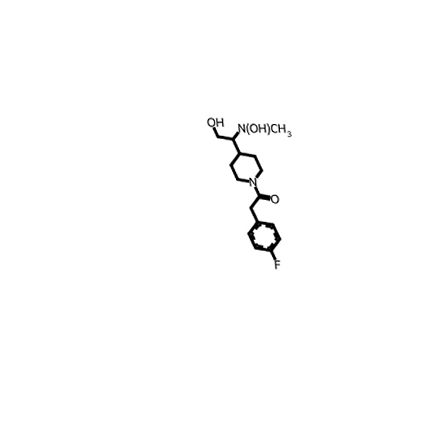 CN(O)C(CO)C1CCN(C(=O)Cc2ccc(F)cc2)CC1